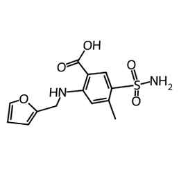 Cc1cc(NCc2ccco2)c(C(=O)O)cc1S(N)(=O)=O